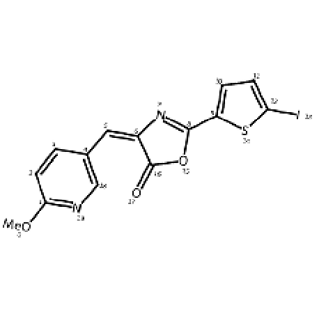 COc1ccc(/C=C2/N=C(c3ccc(I)s3)OC2=O)cn1